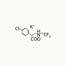 O=C([O-])C(CNCC(F)(F)F)c1ccc(Cl)cc1.[K+]